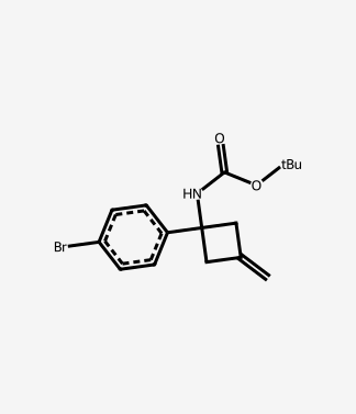 C=C1CC(NC(=O)OC(C)(C)C)(c2ccc(Br)cc2)C1